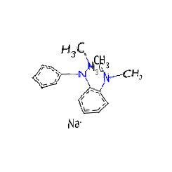 CN(C)c1ccccc1N(c1ccccc1)N(C)C.[Na]